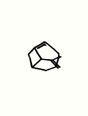 C=C(C)C1C2=CCCCC1C2